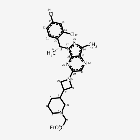 CCOC(=O)CN1CCCC(C2CN(c3cnc4c(C)nn([C@H](C)c5ccc(Cl)cc5Cl)c4n3)C2)C1